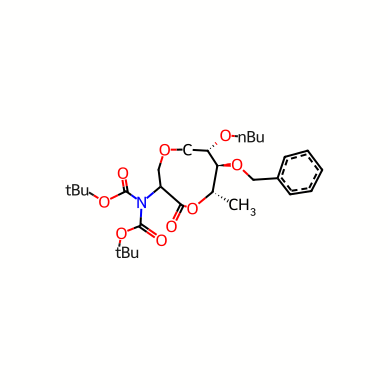 CCCCO[C@H]1COCC(N(C(=O)OC(C)(C)C)C(=O)OC(C)(C)C)C(=O)O[C@@H](C)[C@@H]1OCc1ccccc1